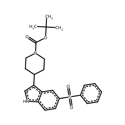 CC(C)(C)OC(=O)N1CCC(c2c[nH]c3ccc(S(=O)(=O)c4ccccc4)cc23)CC1